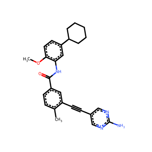 COc1ccc(C2CCCCC2)cc1NC(=O)c1ccc(C)c(C#Cc2cnc(N)nc2)c1